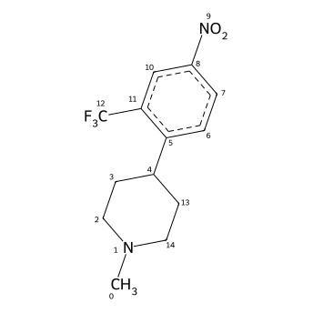 CN1CCC(c2ccc([N+](=O)[O-])cc2C(F)(F)F)CC1